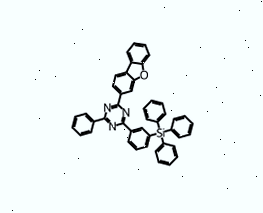 c1ccc(-c2nc(-c3cccc([Si](c4ccccc4)(c4ccccc4)c4ccccc4)c3)nc(-c3ccc4c(c3)oc3ccccc34)n2)cc1